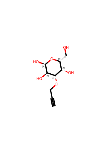 C#CCO[C@@H]1[C@@H](O)[C@@H](O)O[C@H](CO)[C@@H]1O